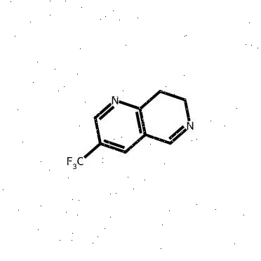 FC(F)(F)c1cnc2c(c1)C=NCC2